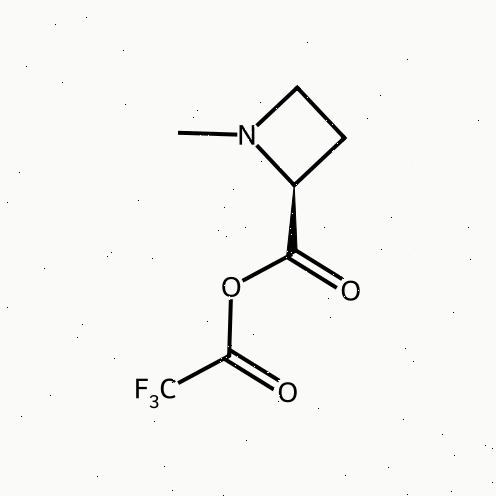 CN1CC[C@H]1C(=O)OC(=O)C(F)(F)F